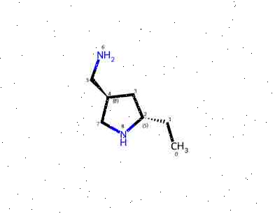 CC[C@H]1C[C@H](CN)CN1